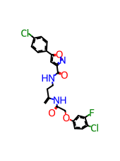 C=C(CCNC(=O)c1cc(-c2ccc(Cl)cc2)on1)NC(=O)COc1ccc(Cl)c(F)c1